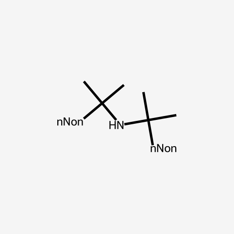 CCCCCCCCCC(C)(C)NC(C)(C)CCCCCCCCC